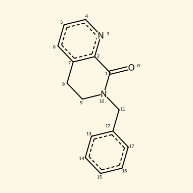 O=C1c2ncccc2CCN1Cc1ccccc1